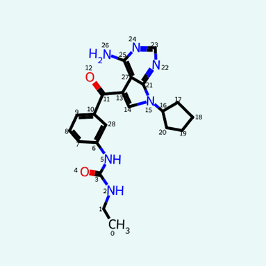 CCNC(=O)Nc1cccc(C(=O)c2cn(C3CCCC3)c3ncnc(N)c23)c1